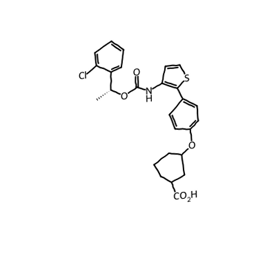 C[C@@H](OC(=O)Nc1ccsc1-c1ccc(OC2CCCC(C(=O)O)C2)cc1)c1ccccc1Cl